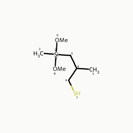 CO[Si](C)(CC(C)CS)OC